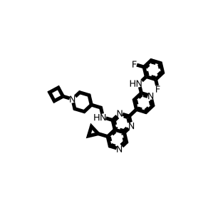 Fc1cccc(F)c1Nc1cc(-c2nc(NCC3CCN(C4CCC4)CC3)c3c(C4CC4)cncc3n2)ccn1